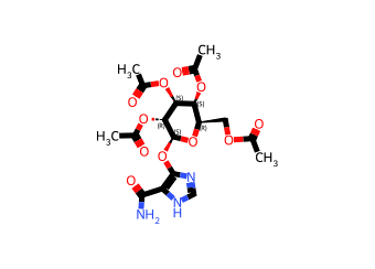 CC(=O)OC[C@H]1O[C@@H](Oc2nc[nH]c2C(N)=O)[C@H](OC(C)=O)[C@@H](OC(C)=O)[C@H]1OC(C)=O